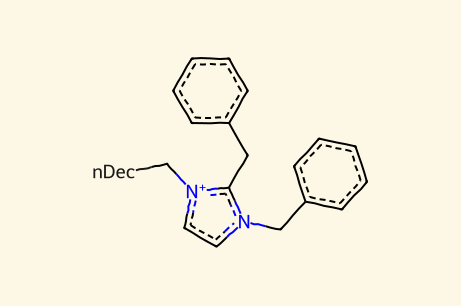 CCCCCCCCCCC[n+]1ccn(Cc2ccccc2)c1Cc1ccccc1